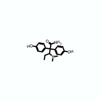 CCC(N(C)C)C(C(N)=O)(c1ccc(O)cc1)c1ccc(O)cc1